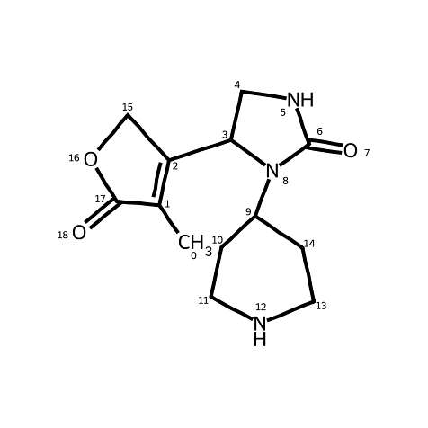 CC1=C(C2CNC(=O)N2C2CCNCC2)COC1=O